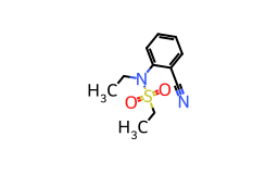 CCN(c1ccccc1C#N)S(=O)(=O)CC